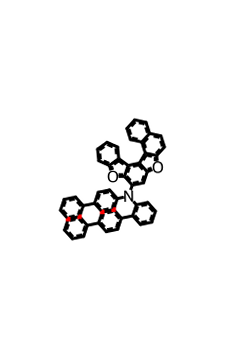 c1ccc(-c2ccc(-c3ccccc3N(c3ccc(-c4ccccc4)cc3)c3cc4oc5ccc6ccccc6c5c4c4c3oc3ccccc34)cc2)cc1